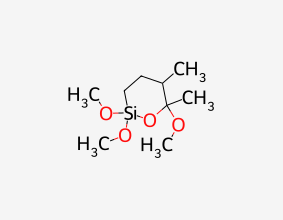 COC1(C)O[Si](OC)(OC)CCC1C